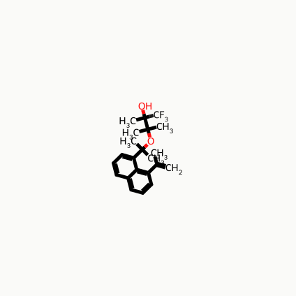 C=C(C)c1cccc2cccc(C(C)(C)OC(C)(C)C(C)(O)C(F)(F)F)c12